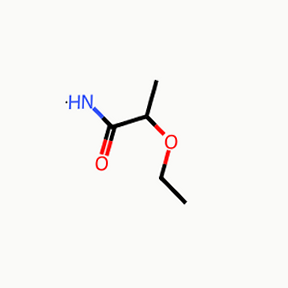 CCOC(C)C([NH])=O